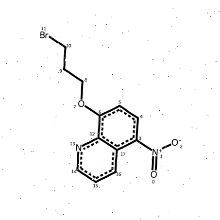 O=[N+]([O-])c1ccc(OCCCBr)c2ncccc12